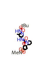 CNS(=O)(=O)c1ccc([C@@H]2CCCCN2C(=O)C(=O)Nc2cnc(NC(=O)OC(C)(C)C)c(C)c2)cc1